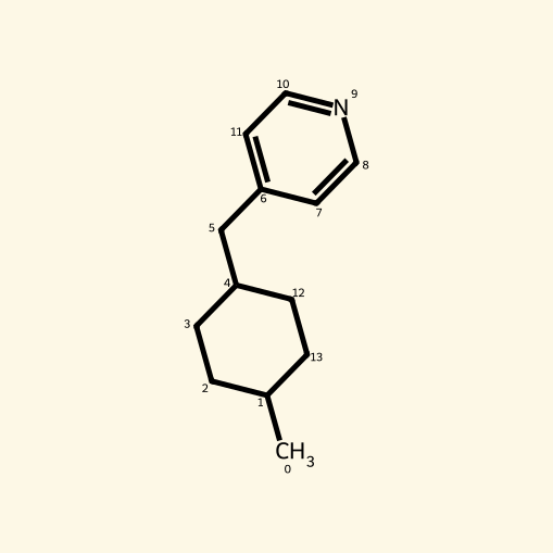 CC1CCC(Cc2ccncc2)CC1